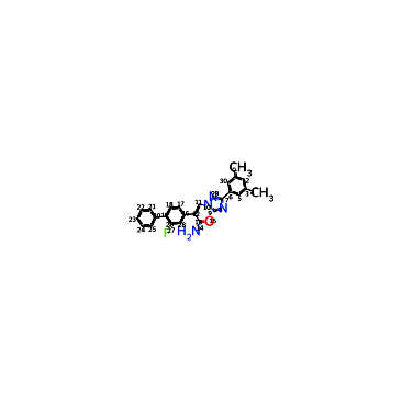 Cc1cc(C)cc(-c2ncn(/C=C(\C(N)=O)c3ccc(-c4ccccc4)c(F)c3)n2)c1